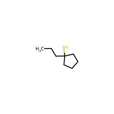 CCCC1(S)CCCC1